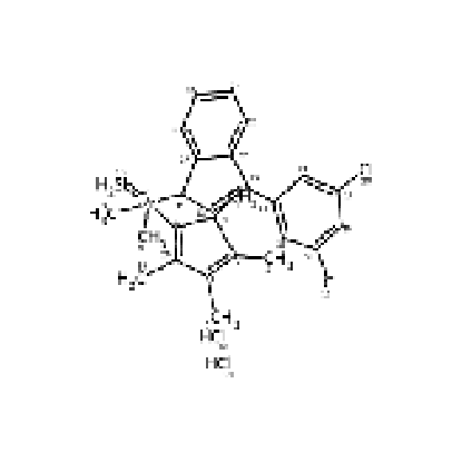 CC1=C(C)C(C)[C]([Zr]([CH3])([CH3])(=[SiH2])[CH]2C=C(c3cc(Cl)cc(Cl)c3)c3ccccc32)=C1C.Cl.Cl